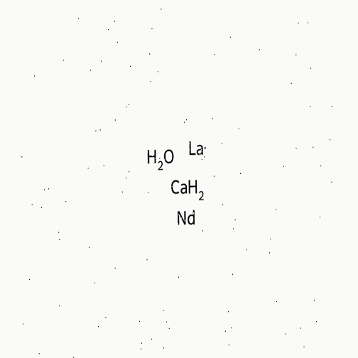 O.[CaH2].[La].[Nd]